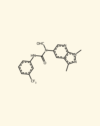 Cc1nn(C)c2ncc(N(C=O)C(=O)Nc3cccc(C(F)(F)F)c3)cc12